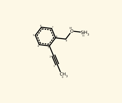 CC#Cc1ccccc1CO[SiH3]